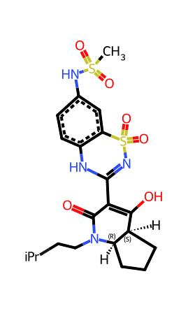 CC(C)CCN1C(=O)C(C2=NS(=O)(=O)c3cc(NS(C)(=O)=O)ccc3N2)=C(O)[C@H]2CCC[C@H]21